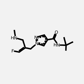 CNC/C(=C\F)Cn1cc(C(=O)NC(C)(C)C)cn1